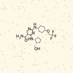 NC(=O)c1cnc(NC2CCC(OCC(F)(F)F)CC2)nc1N[C@@H]1CCC[C@@H]1CO